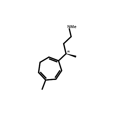 CNCC[C@@H](C)C1=CCC=C(C)C=C1